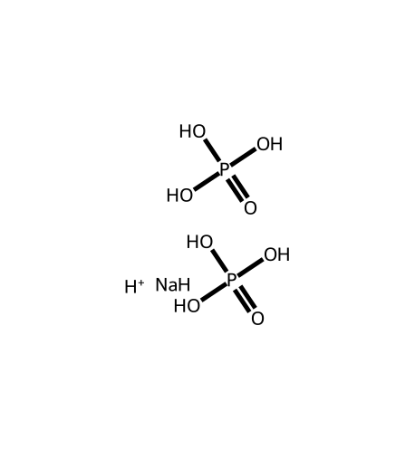 O=P(O)(O)O.O=P(O)(O)O.[H+].[NaH]